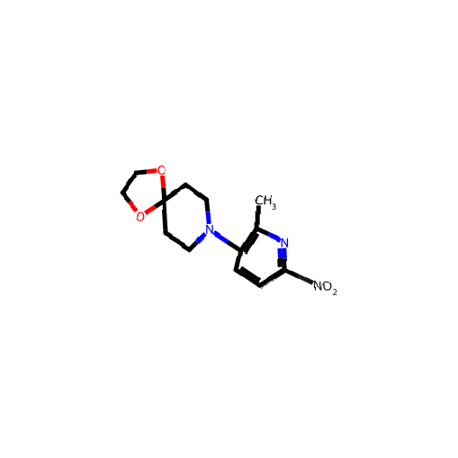 Cc1nc([N+](=O)[O-])ccc1N1CCC2(CC1)OCCO2